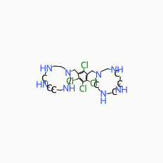 Clc1c(Cl)c(CN2CCCNCCNCCCNCC2)c(Cl)c(CN2CCCNCCNCCCNCC2)c1Cl